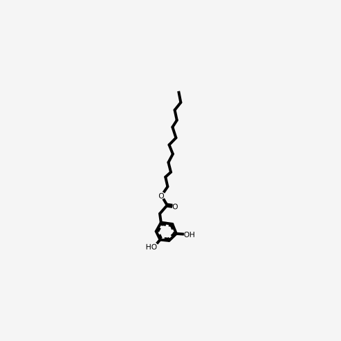 CCCCCCCCCCCCOC(=O)Cc1cc(O)cc(O)c1